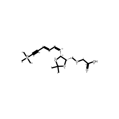 CC1(C)O[C@@H](COCC(=O)O)[C@@H](/C=C\C=C\C#C[Si](C)(C)C)O1